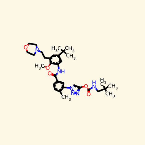 COc1c(CCN2CCOCC2)cc(C(C)(C)C)cc1NC(=O)c1ccc(C)c(-n2cc(OC(=O)NCC(C)(C)C)nn2)c1